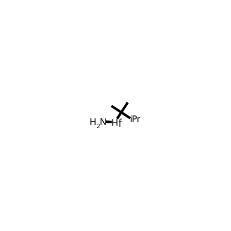 CC(C)[C](C)(C)[Hf][NH2]